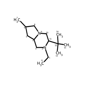 CCN1CC2CC(C)CN2CC1C(C)(C)C